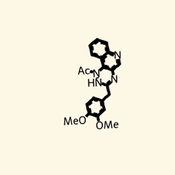 COc1ccc(CC2=Nc3cnc4ccccc4c3N(C(C)=O)N2)cc1OC